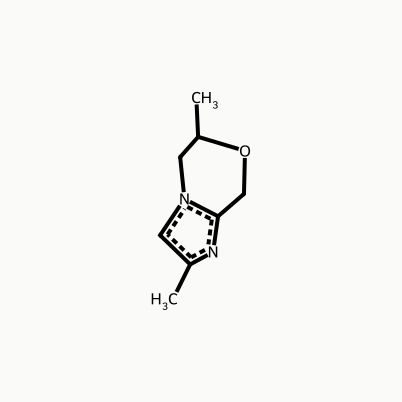 Cc1cn2c(n1)COC(C)C2